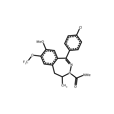 CNC(=O)N1N=C(c2ccc(Cl)cc2)c2cc(OC)c(OC(F)(F)F)cc2CC1C